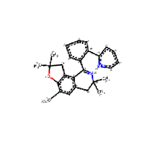 COc1cc2c(c3c1OC(C)(C)C3)C(c1ccccc1-c1ccccn1)=NC(C)(C)C2